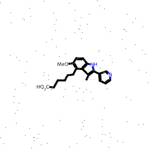 COc1ccc2[nH]c(-c3cccnc3)c(C)c2c1CCCCCC(=O)O